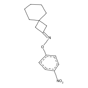 O=[N+]([O-])c1ccc(ON=C2CC3(CCCCC3)C2)cc1